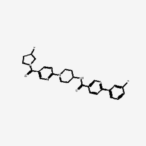 O=C(NC1CCN(c2ccc(C(=O)N3CCC(F)C3)cn2)CC1)c1ccc(-c2cccc(F)c2)nc1